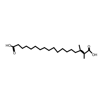 C/C(CCCCCCCCCCCCCCC(=O)O)=C(/C)C(=O)O